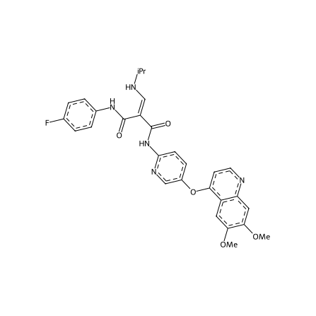 COc1cc2nccc(Oc3ccc(NC(=O)/C(=C/NC(C)C)C(=O)Nc4ccc(F)cc4)nc3)c2cc1OC